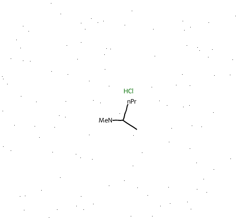 CCCC(C)NC.Cl